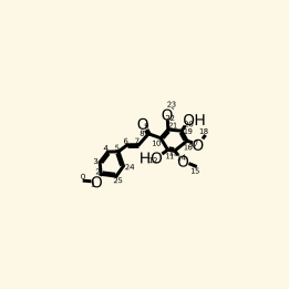 COc1ccc(C=CC(=O)c2c(O)c(OC)c(OC)c(O)c2OC)cc1